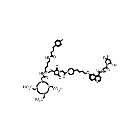 N#C[C@H]1CC(F)(F)CN1C(=O)CNC(=O)c1ccnc2ccc(OCCCCC3CCN(C(=O)CN4C(=O)CC(SC[C@H](CCCCNC(=O)CCCc5ccc(I)cc5)NC(=O)CN5CCN(CC(=O)O)CCN(CC(=O)O)CCN(CC(=O)O)CC5)C4=O)CC3)cc12